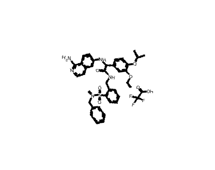 CCOc1cc(C(Nc2ccc3c(N)nccc3c2)C(=O)NCc2ccccc2S(=O)(=O)N(C)Cc2ccccc2)ccc1OC(C)C.O=C(O)C(F)(F)F